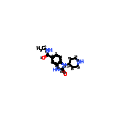 CNC(=O)c1ccc2c(c1)[nH]c(=O)n2C1CCNCC1